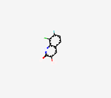 O=c1[nH]c2c(Cl)c(F)ccc2cc1O